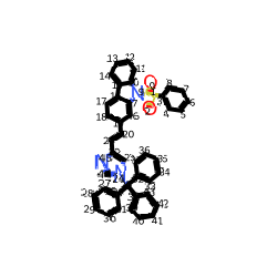 O=S(=O)(c1ccccc1)n1c2ccccc2c2ccc(/C=C/c3cn(C(c4ccccc4)(c4ccccc4)c4ccccc4)cn3)cc21